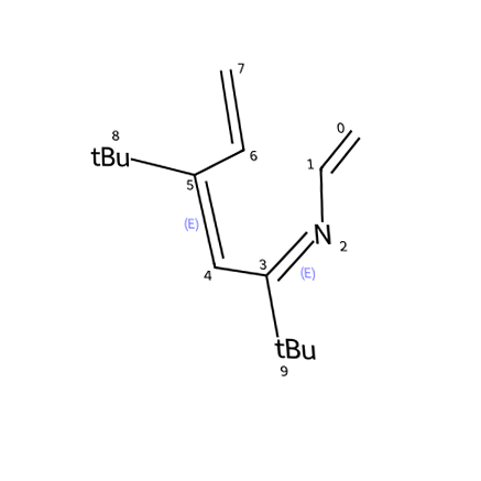 C=C/N=C(\C=C(/C=C)C(C)(C)C)C(C)(C)C